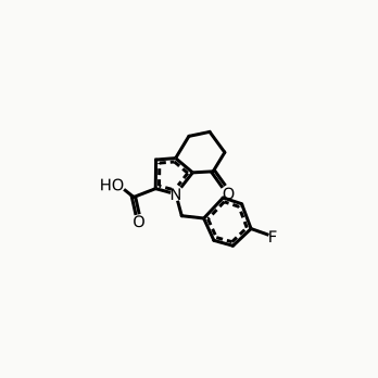 O=C(O)c1cc2c(n1Cc1ccc(F)cc1)C(=O)CCC2